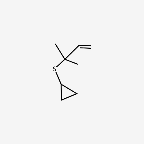 C=CC(C)(C)SC1CC1